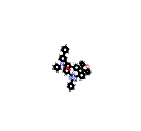 c1ccc(-c2ccc3c(c2)c2cc(-c4ccc5c(c4)-c4c(-c6nc(-c7ccccc7)nc(-c7ccccc7)n6)cccc4C54c5ccccc5Oc5ccccc54)ccc2n3-c2ccccc2)cc1